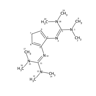 CN(C)C(=NC1=CCC=C1N=C(N(C)C)N(C)C)N(C)C